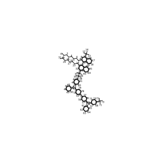 CCCCCCCCc1cc(C(C)(C)C)c2ccccc2c1-c1c(CCCCCCCC)cc(C(C)(C)C(C)(C)c2ccc(N(c3ccccc3)c3ccc(-c4ccc(N(c5ccccc5)c5ccc(C(C)(C)C)cc5)cc4)cc3)cc2)c2ccccc12